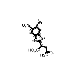 CCCc1cc2sc(C(CC(=O)S)C(=O)O)nc2cc1[N+](=O)[O-]